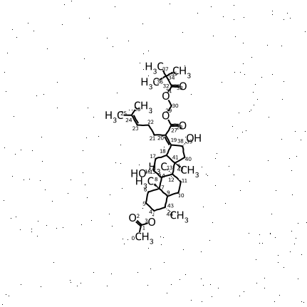 CC(=O)O[C@@H]1CC[C@@]2(C)C(CC[C@@]3(C)C2[C@H](O)CC2/C(=C(\CCC=C(C)C)C(=O)OCOC(=O)C(C)(C)C)[C@H](O)C[C@@]23C)[C@@H]1C